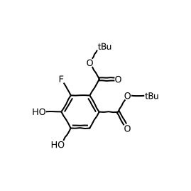 CC(C)(C)OC(=O)c1cc(O)c(O)c(F)c1C(=O)OC(C)(C)C